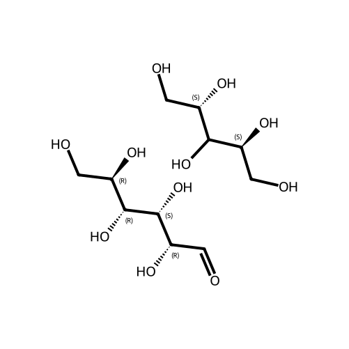 O=C[C@H](O)[C@@H](O)[C@H](O)[C@H](O)CO.OC[C@H](O)C(O)[C@@H](O)CO